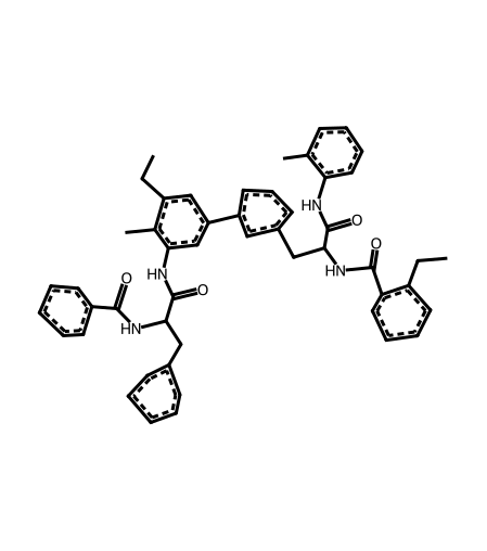 CCc1ccccc1C(=O)NC(Cc1cccc(-c2cc(CC)c(C)c(NC(=O)C(Cc3ccccc3)NC(=O)c3ccccc3)c2)c1)C(=O)Nc1ccccc1C